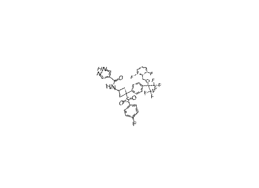 O=C(NC1CC(c2ccc(C(OCc3c(F)cccc3F)(C(F)(F)F)C(F)(F)F)cc2)(S(=O)(=O)c2ccc(F)cc2)C1)c1cn[nH]c1